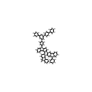 CC1(C)c2ccccc2-c2cc(-c3c(-c4ccc5c(c4)c4ccccc4n5-c4ccccc4)ccc4c3c3ccccc3n4-c3ccc(-c4cc(-c5ccc(-c6ccccc6)cc5)nc(-c5ccccc5)n4)cc3)ccc21